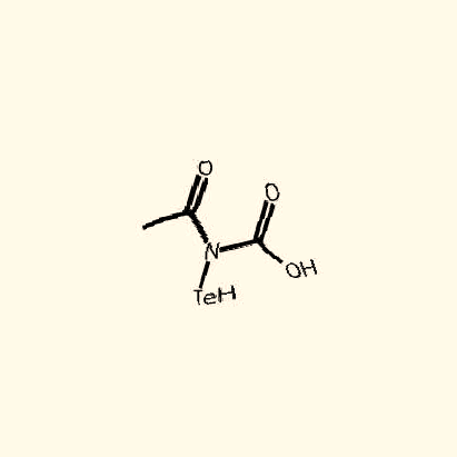 CC(=O)N([TeH])C(=O)O